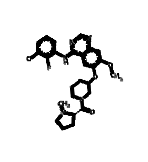 COc1cc2ncnc(Nc3cccc(Cl)c3F)c2cc1OC1CCCN(C(=O)[C@@H]2CCCN2C)C1